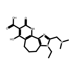 CCn1c(CN(C)C)nc2c1CCCc1c-2[nH]c(=O)c(C(=O)O)c1O